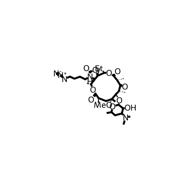 CC[C@H]1OC(=O)[C@H](C)C(=O)[C@H](C)[C@@H](O[C@@H]2OC(C)CC(N(C)C)C2O)[C@](C)(OC)C[C@@H](C)C(=O)O[C@H](C)[C@H]2N(CCCCN=[N+]=[N-])C(=O)O[C@]12C